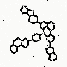 c1ccc(-c2ccc(-c3ccc4ccccc4c3)cc2N(c2ccc(-c3ccc4c(ccc5ccccc54)c3)cc2)c2cccc(-c3ccc4c(c3)oc3ccccc34)c2)cc1